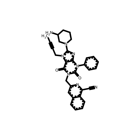 CC#CCn1c(N2CCCC(N)C2)nc2c1c(=O)n(Cc1cc3ccccc3c(C#N)n1)c(=O)n2-c1ccccc1